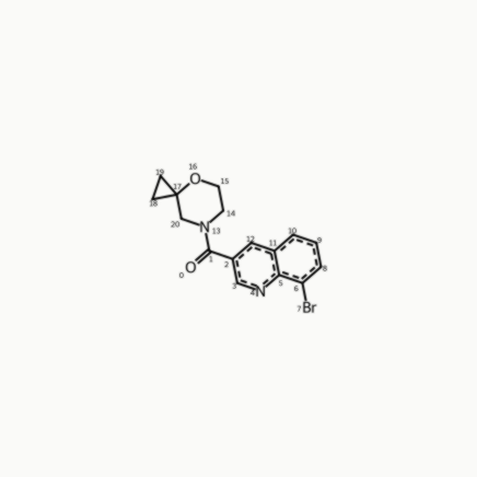 O=C(c1cnc2c(Br)cccc2c1)N1CCOC2(CC2)C1